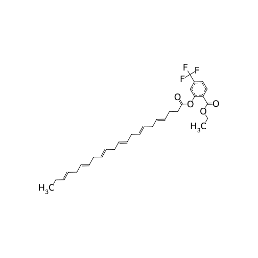 CCC=CCC=CCC=CCC=CCC=CCC=CCCC(=O)Oc1cc(C(F)(F)F)ccc1C(=O)OCC